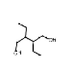 CCC(CO)C(CC)CO